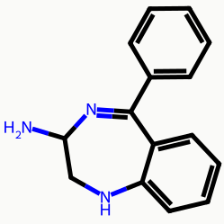 NC1CNc2ccccc2C(c2ccccc2)=N1